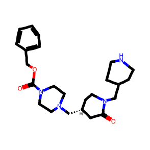 O=C1C[C@H](CN2CCN(C(=O)OCc3ccccc3)CC2)CCN1CC1CCNCC1